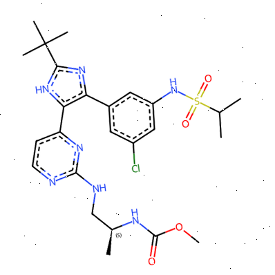 COC(=O)N[C@@H](C)CNc1nccc(-c2[nH]c(C(C)(C)C)nc2-c2cc(Cl)cc(NS(=O)(=O)C(C)C)c2)n1